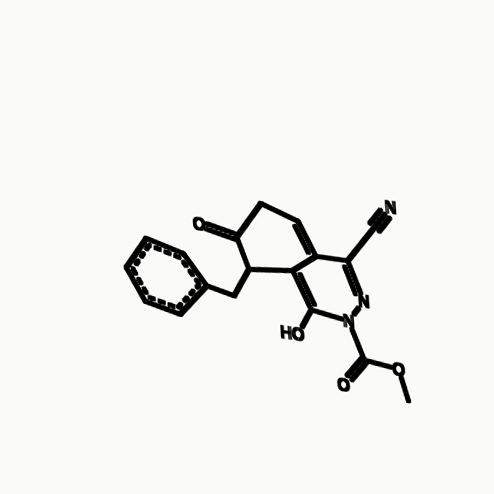 COC(=O)N1N=C(C#N)C2=CCC(=O)C(Cc3ccccc3)C2=C1O